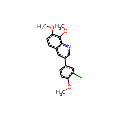 COc1ccc(-c2cnc3c(OC)c(OC)ccc3c2)cc1F